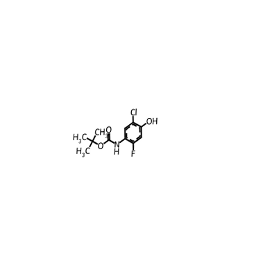 CC(C)(C)OC(=O)Nc1cc(Cl)c(O)cc1F